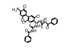 Nc1cc(Cl)c(-c2cc(Cl)c(N(NC(=S)NC(=O)c3ccccc3)NC(=S)NC(=O)c3ccccc3)cc2Cl)cc1Cl